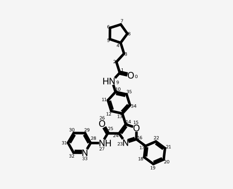 O=C(CCC1CCCC1)Nc1ccc(-c2oc(-c3ccccc3)nc2C(=O)Nc2ccccn2)cc1